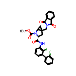 CC(C)(C)OC(=O)N1C2CC2(CN2C(=O)c3ccccc3C2=O)C[C@H]1C(=O)Nc1cccc(-c2ccccc2Cl)c1F